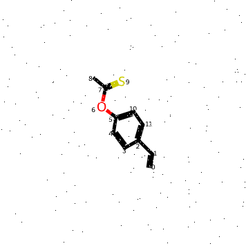 C=Cc1ccc(OC(C)=S)cc1